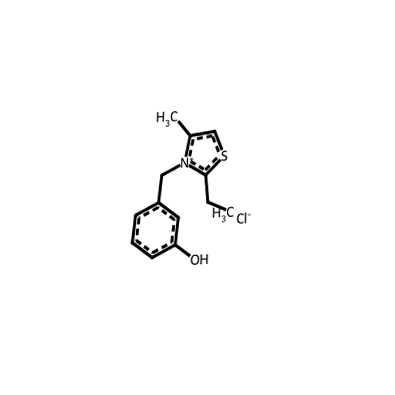 CCc1scc(C)[n+]1Cc1cccc(O)c1.[Cl-]